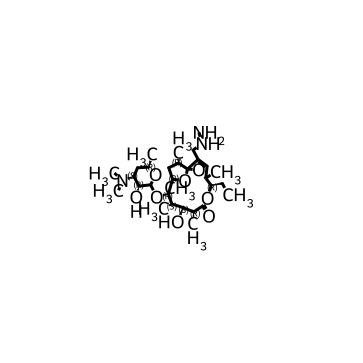 CC[C@H]1OC(=O)[C@H](C)[C@@H](O)[C@H](C)[C@@H](OC2O[C@H](C)C[C@H](N(C)C)[C@H]2O)[C@@]2(C)C[C@@H](C)C3(OC1(C)C=C3CNN)O2